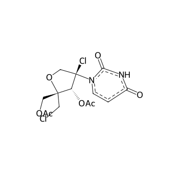 CC(=O)OC[C@@]1(CCl)OC[C@](Cl)(n2ccc(=O)[nH]c2=O)[C@@H]1OC(C)=O